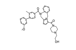 COc1cccc(-c2ccc(C(=O)N3Cc4ccc(C(=O)N5CCN(CCO)CC5)n4Cc4ccccc43)cc2C)c1